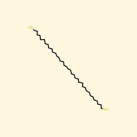 SCCCCCCCCCCCCCCCCCCCCCCCCCCCCCCCCCCCCCS